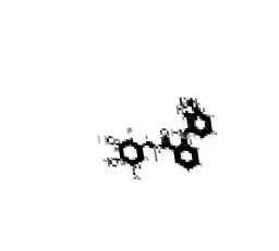 C[C@@H]1[C@@H](CNC(=O)c2ccccc2Nc2cccc3nonc23)C[C@H](C)[C@H](O)[C@@H]1O